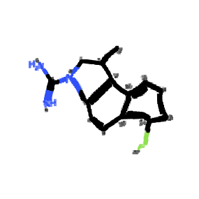 CC1CN(C(=N)N)c2ccc3c(F)cccc3c21